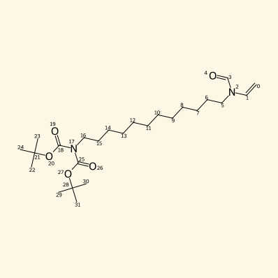 C=CN(C=O)CCCCCCCCCCCCN(C(=O)OC(C)(C)C)C(=O)OC(C)(C)C